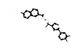 C/C(=N\NC(=O)c1ccc2cc(C(=O)O)ccc2c1)c1csc(-c2ccc(Cl)c(Cl)c2)c1O